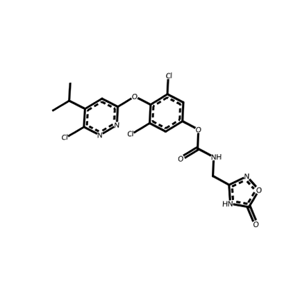 CC(C)c1cc(Oc2c(Cl)cc(OC(=O)NCc3noc(=O)[nH]3)cc2Cl)nnc1Cl